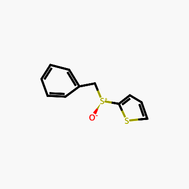 [O-][S@@+](Cc1ccccc1)c1cccs1